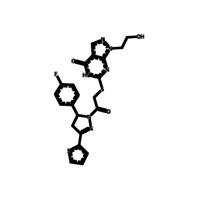 O=C(CSc1nc2c(cnn2CCO)c(=O)[nH]1)N1N=C(c2cccs2)CC1c1ccc(F)cc1